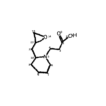 O=C(O)CCN1CCCCC1CC1CO1